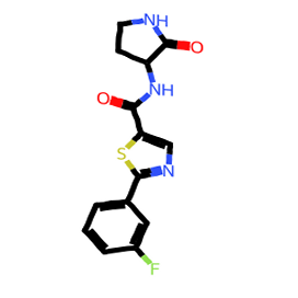 O=C(NC1CCNC1=O)c1cnc(-c2cccc(F)c2)s1